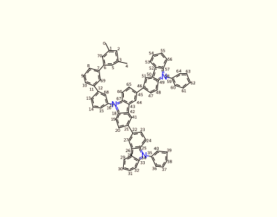 Cc1cc(C)cc(-c2cccc(-c3cccc(-n4c5ccc(-c6ccc7c(c6)c6ccccc6n7-c6ccccc6)cc5c5cc(-c6ccc7c(c6)c6ccccc6n7-c6ccccc6)ccc54)c3)c2)c1